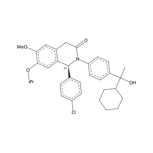 COc1cc2c(cc1OC(C)C)[C@H](c1ccc(Cl)cc1)N(c1ccc(C(C)(O)C3CCCCC3)cc1)C(=O)C2